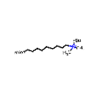 CCCCCCCCCCCCCCCCCC[N+](C)(C)CCCC